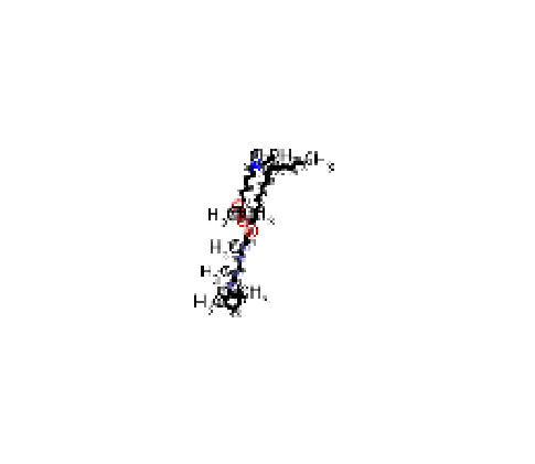 C#CCN(C)CCCCCCO[Si](C)(C)OC(CCCCCCCCCCCCCCC)OC/C=C(C)/C=C/C=C(C)/C=C/C1=C(C)CCCC1(C)C